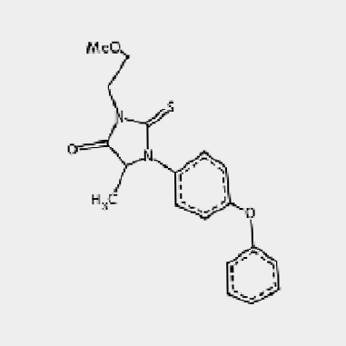 COCCN1C(=O)C(C)N(c2ccc(Oc3ccccc3)cc2)C1=S